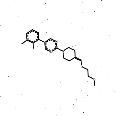 [CH2]c1cccc(-c2cnc(N3CCC(=NOCCOC)CC3)nc2)c1F